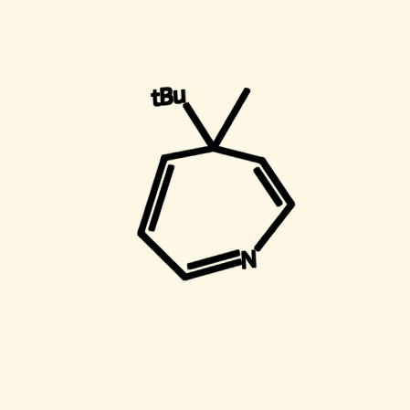 CC(C)(C)C1(C)C=CC=NC=C1